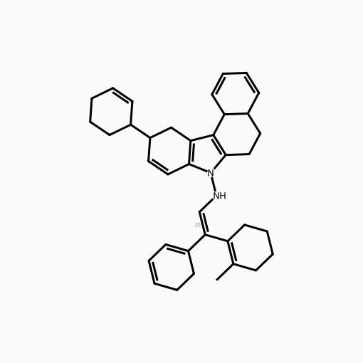 CC1=C(/C(=C\Nn2c3c(c4c2CCC2C=CC=CC42)CC(C2C=CCCC2)C=C3)C2=CC=CCC2)CCCC1